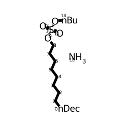 CCCCCCCCCCCCCCCCCCOS(=O)(=O)OCCCC.N